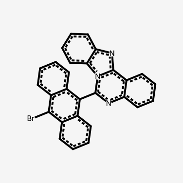 Brc1c2ccccc2c(-c2nc3ccccc3c3nc4ccccc4n23)c2ccccc12